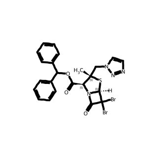 C[C@@]1(Cn2ccnn2)S[C@@H]2N(C(=O)C2(Br)Br)[C@H]1C(=O)OC(c1ccccc1)c1ccccc1